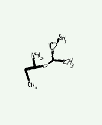 CCC(N)OC(C)O[SiH3]